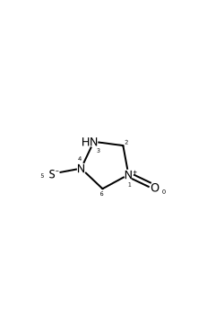 O=[N+]1CNN([S-])C1